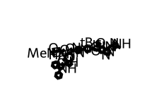 CNC(=O)OC(C)C(=O)N[C@H]1CN(C(=O)c2cnc(N3CCC(COc4cc5ncnc(Nc6n[nH]c(C)c6C)c5cc4S(=O)(=O)C(C)(C)C)CC3)cn2)CC[C@H]2CC[C@@H](C(=O)NC(c3ccccc3)c3ccccc3)N2C1=O